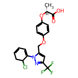 C[C@@H](Oc1ccc(OCc2cc(C(F)(F)F)nn2C2=CC=CCC2Cl)cc1)C(=O)O